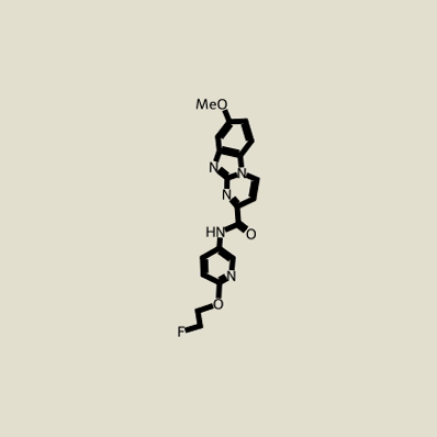 COc1ccc2c(c1)nc1nc(C(=O)Nc3ccc(OCCF)nc3)ccn12